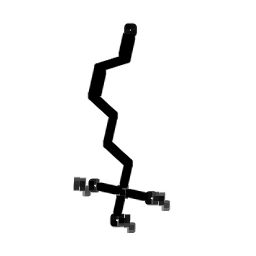 C[Si](C)(C)CCC/C=C\C=O